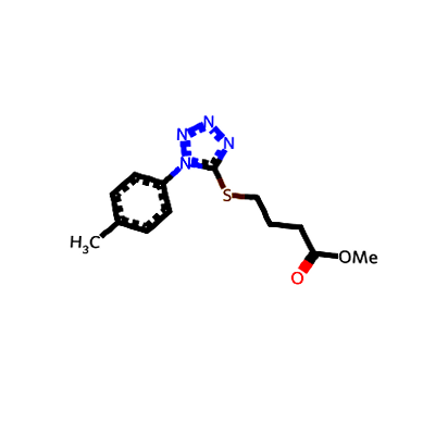 COC(=O)CCCSc1nnnn1-c1ccc(C)cc1